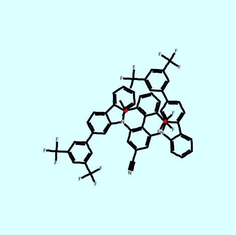 CC(C)c1cccc(C(F)(F)F)c1-c1c(-n2c3ccccc3c3ccc(-c4cc(C(F)(F)F)cc(C(F)(F)F)c4)cc32)cc(C#N)cc1-n1c2ccccc2c2ccc(-c3cc(C(F)(F)F)cc(C(F)(F)F)c3)cc21